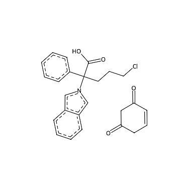 O=C(O)C(CCCCl)(c1ccccc1)n1cc2ccccc2c1.O=C1C=CCC(=O)C1